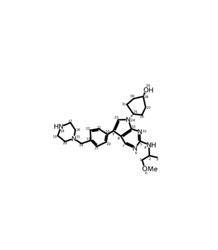 COCC(C)Nc1ncc2c(-c3ccc(CN4CCNCC4)cc3)cn([C@H]3CC[C@H](O)CC3)c2n1